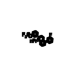 CCCN1c2cccc(-c3cccc(F)c3)c2CC[C@H]1c1cccc(OC(F)(F)F)c1